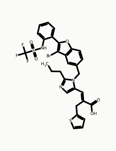 CCCc1ncc(/C=C(\Cc2cccs2)C(=O)O)n1Cc1ccc2oc(-c3ccccc3NS(=O)(=O)C(F)(F)F)c(Br)c2c1